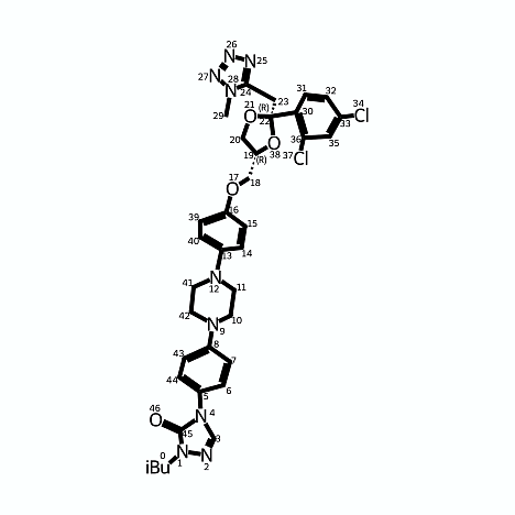 CCC(C)n1ncn(-c2ccc(N3CCN(c4ccc(OC[C@@H]5CO[C@@](Cc6nnnn6C)(c6ccc(Cl)cc6Cl)O5)cc4)CC3)cc2)c1=O